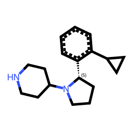 c1ccc([C@@H]2CCCN2C2CCNCC2)c(C2CC2)c1